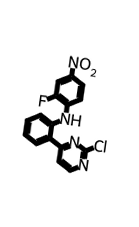 O=[N+]([O-])c1ccc(Nc2ccccc2-c2ccnc(Cl)n2)c(F)c1